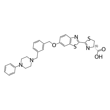 O=C(O)[C@H]1CSC(c2nc3ccc(OCc4cccc(CN5CCN(c6ccccc6)CC5)c4)cc3s2)=N1